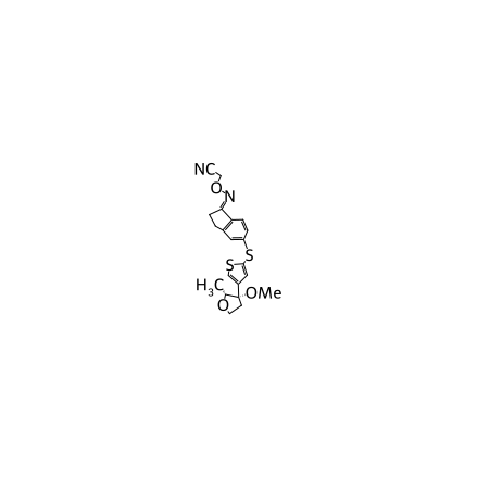 CO[C@]1(c2csc(Sc3ccc4c(c3)CC/C4=N\OCC#N)c2)CCO[C@@H]1C